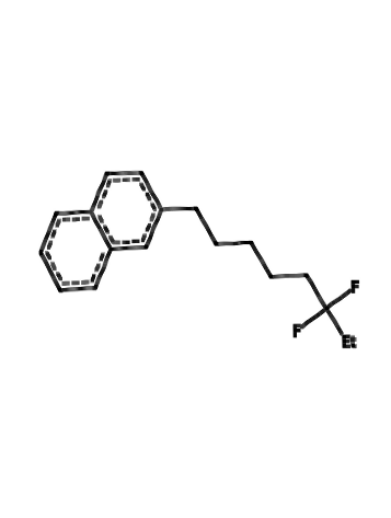 [CH2]CC(F)(F)CCCCCc1ccc2ccccc2c1